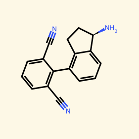 N#Cc1cccc(C#N)c1-c1cccc2c1CC[C@H]2N